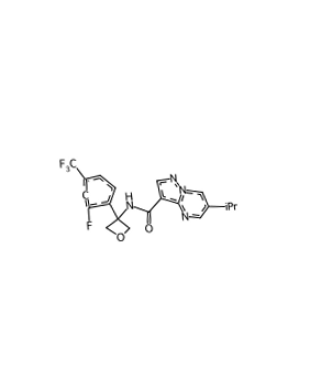 CC(C)c1cnc2c(C(=O)NC3(c4ccc(C(F)(F)F)cc4F)COC3)cnn2c1